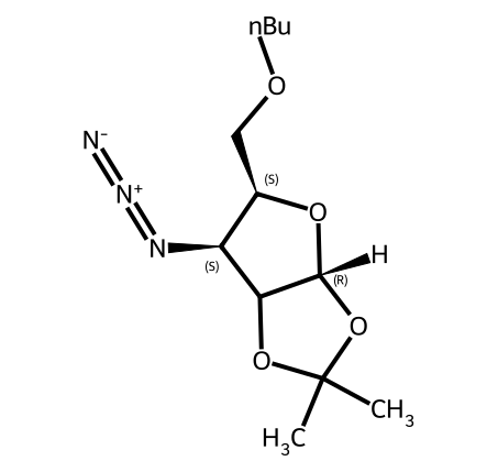 CCCCOC[C@H]1O[C@@H]2OC(C)(C)OC2[C@H]1N=[N+]=[N-]